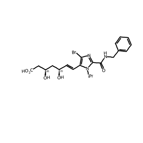 CC(C)n1c(C(=O)NCc2ccccc2)nc(Br)c1C=C[C@@H](O)C[C@@H](O)CC(=O)O